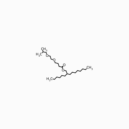 CCCCCCCCC(CCCCCC)COC(=O)CCCOCCOCC(C)C